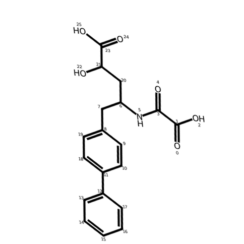 O=C(O)C(=O)NC(Cc1ccc(-c2ccccc2)cc1)CC(O)C(=O)O